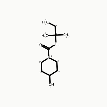 CCC(C)(C)OC(=O)N1CCC(O)CC1